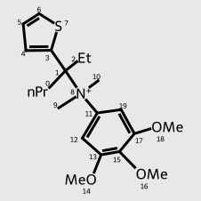 CCCC(CC)(c1cccs1)[N+](C)(C)c1cc(OC)c(OC)c(OC)c1